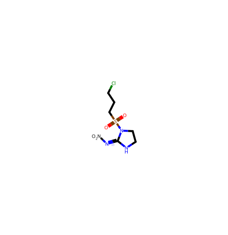 O=[N+]([O-])/N=C1/NCCN1S(=O)(=O)CCCCl